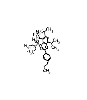 CCCc1ccc(C(=O)Oc2c(C(C)C)cc(C(C)C)c(C(C)C)c2OC(=O)N(CC)CC)cc1